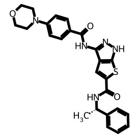 C[C@H](NC(=O)c1cc2c(NC(=O)c3ccc(N4CCOCC4)cc3)n[nH]c2s1)c1ccccc1